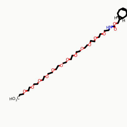 O=C(O)CCOCCOCCOCCOCCOCCOCCOCCOCCOCCOCCOCCOCCNC(=O)OCC1[C@H]2CCC#CCC[C@@H]12